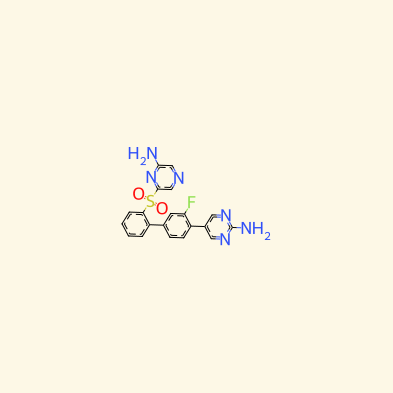 Nc1cncc(S(=O)(=O)c2ccccc2-c2ccc(-c3cnc(N)nc3)c(F)c2)n1